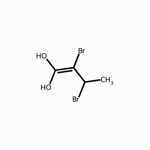 CC(Br)C(Br)=C(O)O